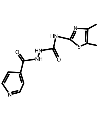 Cc1nc(NC(=O)NNC(=O)c2ccncc2)sc1C